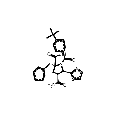 CC(C)(C)c1ccc(C(=O)N2[C@@H](c3nccs3)[C@@H](C(N)=O)C[C@@]2(Cc2ccccc2)C(=O)O)cc1